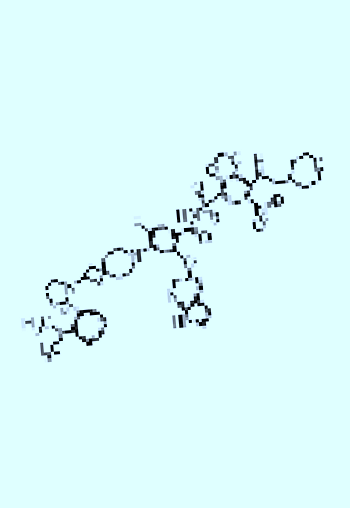 CC(C)c1ccccc1[C@@H]1CCCN1C1CC2(CCN(c3cc(Oc4cnc5[nH]ccc5c4)c(C(=O)NS(=O)(=O)c4cc([N+](=O)[O-])c(NCC5CCOCC5)c5c4OCO5)cc3F)CC2)C1